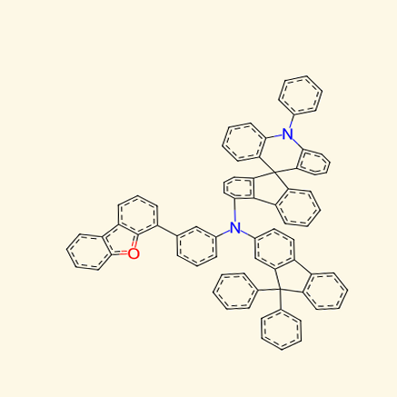 c1ccc(N2c3ccccc3C3(c4ccccc4-c4c(N(c5cccc(-c6cccc7c6oc6ccccc67)c5)c5ccc6c(c5)C(c5ccccc5)(c5ccccc5)c5ccccc5-6)cccc43)c3ccccc32)cc1